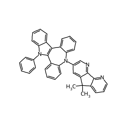 CC1(C)c2cccnc2-c2ncc(N3c4ccccc4-c4c(n(-c5ccccc5)c5ccccc45)-c4ccccc43)cc21